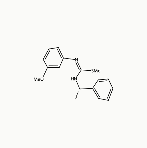 COc1cccc(N=C(N[C@@H](C)c2ccccc2)SC)c1